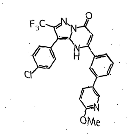 COc1ccc(-c2cccc(-c3cc(=O)n4nc(C(F)(F)F)c(-c5ccc(Cl)cc5)c4[nH]3)c2)cn1